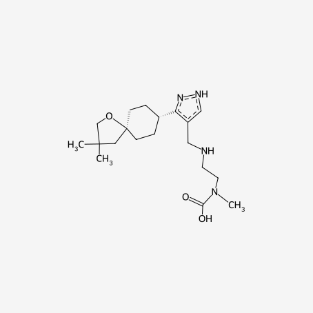 CN(CCNCc1c[nH]nc1[C@H]1CC[C@]2(CC1)CC(C)(C)CO2)C(=O)O